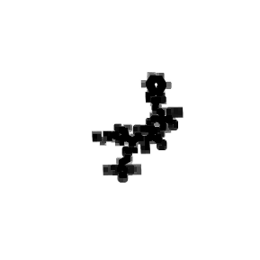 Nc1nc(C(=NOCCP(=O)(O)O)C(=O)NC2C(=O)N3CC(CSc4nc5ccccc5s4)(C(=O)O)CS[C@H]23)cs1